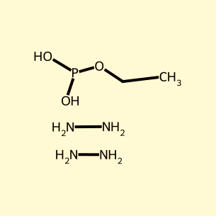 CCOP(O)O.NN.NN